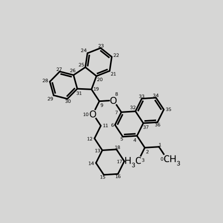 CCC(C)c1ccc(OC(OCCC2CCCCC2)C2c3ccccc3-c3ccccc32)c2ccccc12